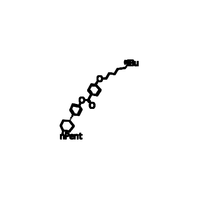 CCCCC[C@H]1CC[C@H](c2ccc(OC(=O)c3ccc(OCCCCC[C@@H](C)CC)cc3)cc2)CC1